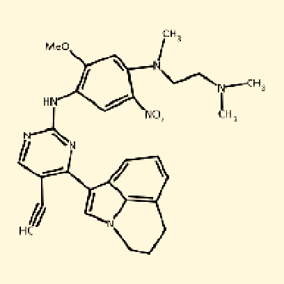 C#Cc1cnc(Nc2cc([N+](=O)[O-])c(N(C)CCN(C)C)cc2OC)nc1-c1cn2c3c(cccc13)CCC2